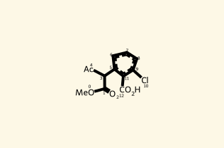 COC(=O)C(C(C)=O)c1cccc(Cl)c1C(=O)O